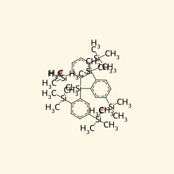 C[Si](C)(C)c1ccc([Si](C)(C)C)c([Si](Cl)(c2cc([Si](C)(C)C)ccc2[Si](C)(C)C)c2cc([Si](C)(C)C)ccc2[Si](C)(C)C)c1